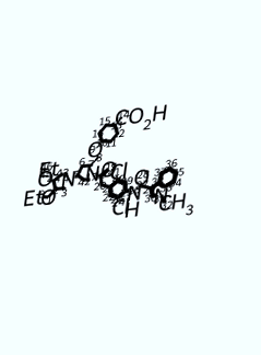 CCOC1CN([C@H]2C[C@@H](CO[C@H]3CC[C@H](C(=O)O)CC3)N(C(=O)Cc3cc(Cl)c(NC(=O)c4cn(C)c5ccccc45)cc3Cl)C2)C[C@@H]1OCC